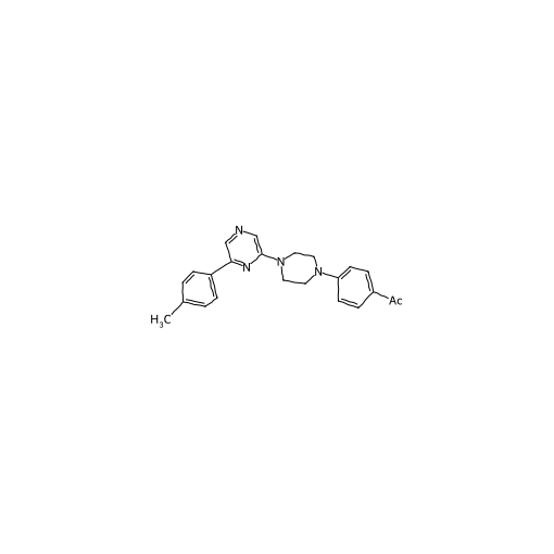 CC(=O)c1ccc(N2CCN(c3cncc(-c4ccc(C)cc4)n3)CC2)cc1